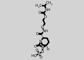 CC(C)NC(=O)OCCONC(=O)[C@@H]1CC[C@@H]2CN1C(=O)N2OS(=O)(=O)O